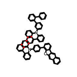 c1ccc(-c2ccccc2-c2cccc(N(c3cccc(-c4cccc(N(c5ccc(-c6cccc7c6oc6cc8ccccc8cc67)cc5)c5ccccc5-c5ccccc5)c4)c3)c3ccccc3-c3ccccc3)c2)cc1